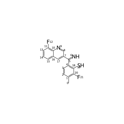 Cc1ccc(C(=N)c2cnc3c(F)cccc3c2)c(S)c1F